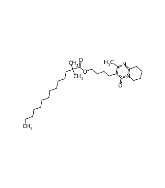 CCCCCCCCCCCCC(C)(C)C(=O)OCCCCc1c(C)nc2n(c1=O)CCCC2